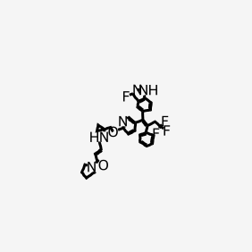 O=C(/C=C/CNC1(COc2ccc(/C(=C(/CC(F)(F)F)c3ccccc3)c3ccc4[nH]nc(F)c4c3)cn2)CC1)N1CCCC1